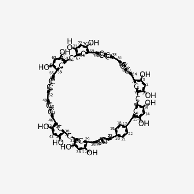 Oc1cc(O)c2cc1Cc1cc(c(O)cc1O)-c1ccc(cc1)-c1ccc(cc1)-c1cc(c(O)cc1O)Cc1cc(c(O)cc1O)-c1ccc(cc1)-c1ccc(cc1)-c1cc(c(O)cc1O)Cc1cc(c(O)cc1O)-c1ccc(cc1)-c1ccc-2cc1